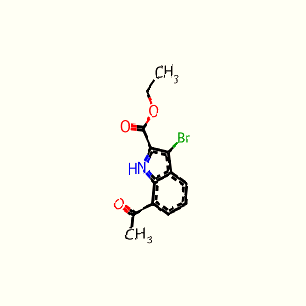 CCOC(=O)c1[nH]c2c(C(C)=O)cccc2c1Br